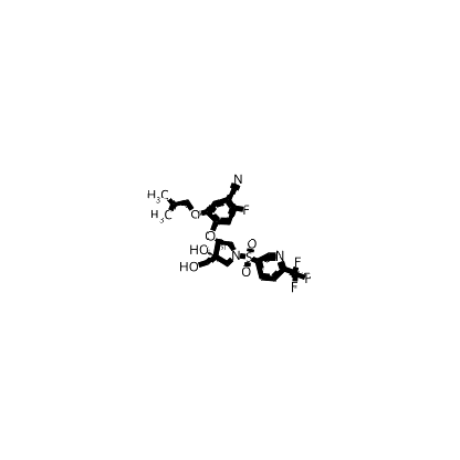 CC(C)COc1cc(C#N)c(F)cc1O[C@H]1CN(S(=O)(=O)c2ccc(C(F)(F)F)nc2)C[C@@]1(O)CO